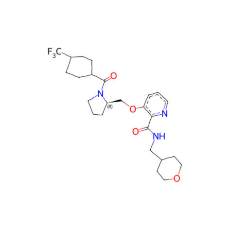 O=C(NCC1CCOCC1)c1ncccc1OC[C@H]1CCCN1C(=O)C1CCC(C(F)(F)F)CC1